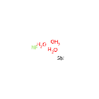 F.O.O.O.[Sb]